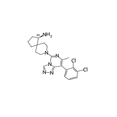 Cc1nc(N2CCC3(CCC[C@H]3N)CC2)n2cnnc2c1-c1cccc(Cl)c1Cl